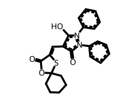 O=C1OC2(CCCCC2)SC1=Cc1c(O)n(-c2ccccc2)n(-c2ccccc2)c1=O